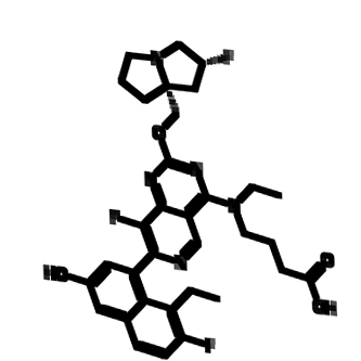 CCc1c(F)ccc2cc(O)cc(-c3ncc4c(N(CC)CCCC(=O)O)nc(OC[C@]56CCCN5C[C@H](F)C6)nc4c3F)c12